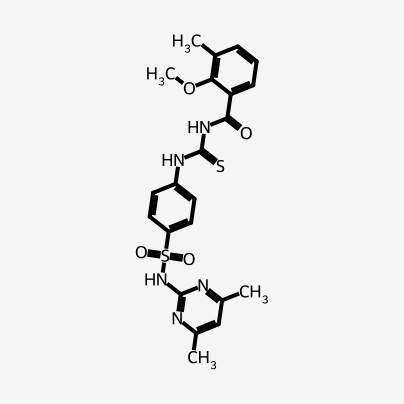 COc1c(C)cccc1C(=O)NC(=S)Nc1ccc(S(=O)(=O)Nc2nc(C)cc(C)n2)cc1